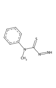 CN(C(=S)N=N)c1ccccc1